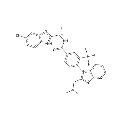 C[C@H](NC(=O)c1ccc(-n2c(CN(C)C)nc3ccccc32)c(C(F)(F)F)c1)c1nc2cc(Cl)ccc2[nH]1